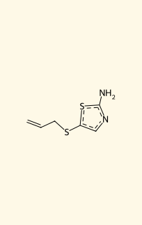 C=CCSc1cnc(N)s1